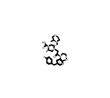 CC1COCCN1C[C@H]1CN(C(=O)O)[C@H](C)CN1CC(=O)N1CCCOc2ncc(Cc3ccc(F)cc3)cc21